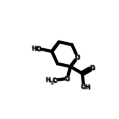 COC1(C(=O)O)CC(O)CCO1